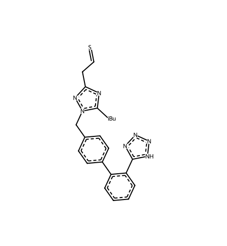 CCC(C)c1nc(CC=S)nn1Cc1ccc(-c2ccccc2-c2nnn[nH]2)cc1